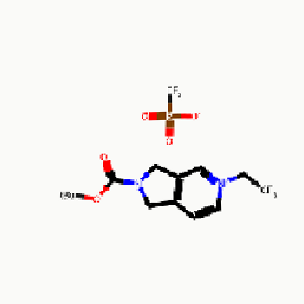 CC(C)(C)OC(=O)N1Cc2cc[n+](CC(F)(F)F)cc2C1.O=S(=O)([O-])C(F)(F)F